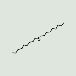 CCCCCCCCCSCCCCCCCCC